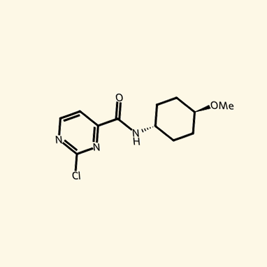 CO[C@H]1CC[C@H](NC(=O)c2ccnc(Cl)n2)CC1